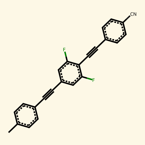 Cc1ccc(C#Cc2cc(F)c(C#Cc3ccc(C#N)cc3)c(F)c2)cc1